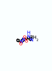 Bc1nccc2c(C(=O)C(=O)N3CCN(C(=O)c4ccccc4)CC3)c[nH]c12